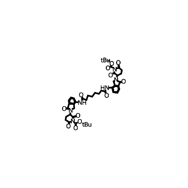 CC(C)(C)OC(=O)N1C(=O)CCC(N2Cc3c(NC(=O)CCCCCCC(=O)Nc4cccc5c4CN(C4CCC(=O)N(C(=O)OC(C)(C)C)C4=O)C5=O)cccc3C2=O)C1=O